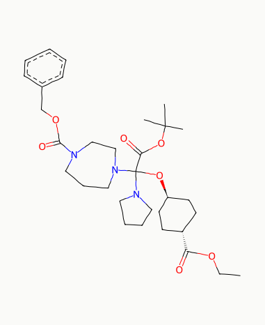 CCOC(=O)[C@H]1CC[C@H](OC(C(=O)OC(C)(C)C)(N2CCCC2)N2CCCN(C(=O)OCc3ccccc3)CC2)CC1